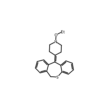 CCON1CCC(=C2c3ccccc3CSc3ccccc32)CC1